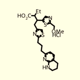 CCC(C(=O)O)C(Cc1csc(CCCc2ccc3c(n2)NCCC3)n1)c1cnc(COC)s1.Cl